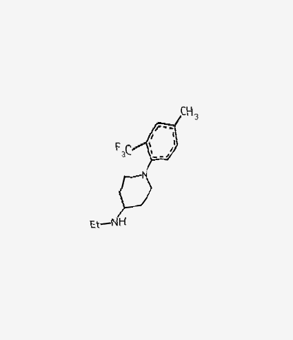 CCNC1CCN(c2ccc(C)cc2C(F)(F)F)CC1